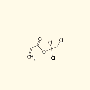 C=CC(=O)OC(Cl)(Cl)CCl